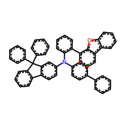 c1ccc(-c2ccc(N(c3ccc4c(c3)C(c3ccccc3)(c3ccccc3)c3ccccc3-4)c3ccccc3-c3cccc4c3oc3ccccc34)cc2)cc1